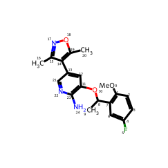 COc1ccc(F)cc1C(C)Oc1cc(-c2c(C)noc2C)cnc1N